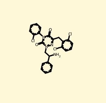 NC(Cn1nc(Cc2c(Cl)cccc2Cl)c(=O)n(-c2ccccc2Cl)c1=O)c1ccccc1